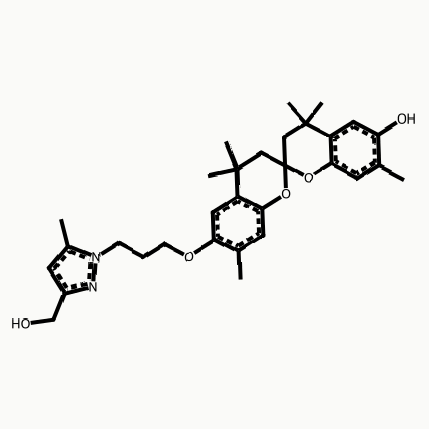 Cc1cc2c(cc1O)C(C)(C)CC1(CC(C)(C)c3cc(OCCCn4nc(CO)cc4C)c(C)cc3O1)O2